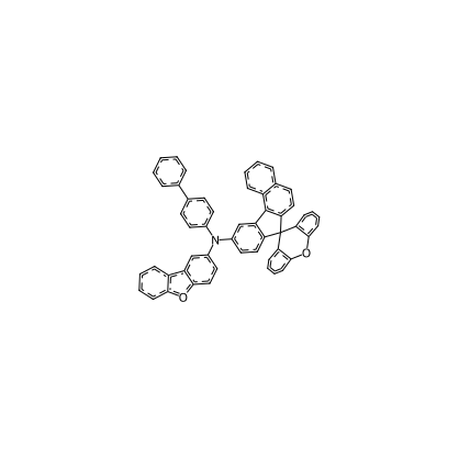 c1ccc(-c2ccc(N(c3ccc4c(c3)-c3c(ccc5ccccc35)C43c4ccccc4Oc4ccccc43)c3ccc4oc5ccccc5c4c3)cc2)cc1